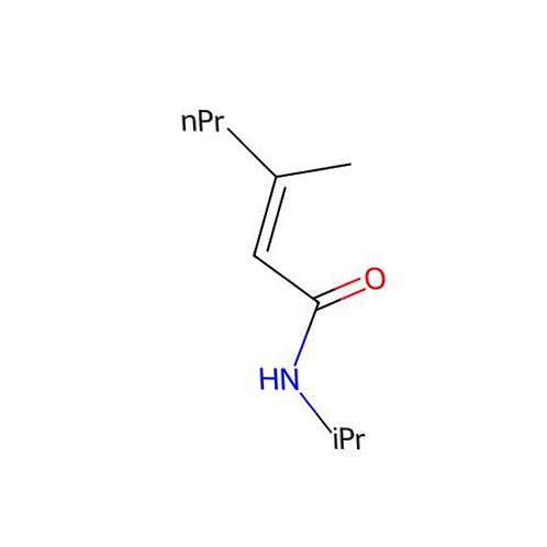 CCC/C(C)=C/C(=O)NC(C)C